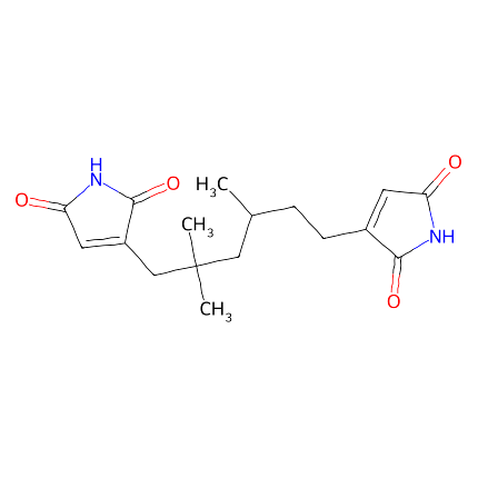 CC(CCC1=CC(=O)NC1=O)CC(C)(C)CC1=CC(=O)NC1=O